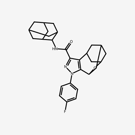 O=C(NC1C2CC3CC(C2)CC1C3)c1nn(-c2ccc(F)cc2)c2c1C1CC3CC(C1)CC2C3